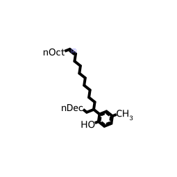 CCCCCCCC/C=C\CCCCCCCCC(CCCCCCCCCCC)c1cc(C)ccc1O